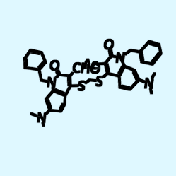 CC(=O)c1c(SCSc2c(C=O)c(=O)n(Cc3ccccc3)c3cc(N(C)C)ccc23)c2ccc(N(C)C)cc2n(Cc2ccccc2)c1=O